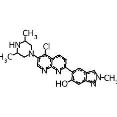 CC1CN(c2cnc3nc(-c4cc5cn(C)nc5cc4O)ccc3c2Cl)CC(C)N1